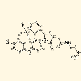 CN(C)CCNC(=O)CN1CC(c2cccc(C(F)(F)F)c2)N(c2ccc(Oc3ccc(Cl)cc3)cc2)C1=O